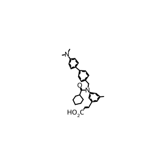 Cc1cc(C=CC(=O)O)cc(N(Cc2ccc(-c3ccc(N(C)C)cc3)cc2)C(=O)C2CCCCC2)c1